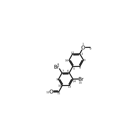 COc1ccc(-c2c(Br)cc(C=O)cc2Br)cc1